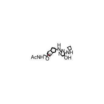 CC(=O)NCC(=O)N1C2CCC1c1cc(Nc3ncc(O)c(NC4CCC4)n3)ccc12